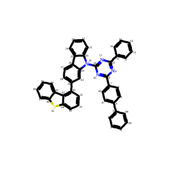 c1ccc(-c2ccc(-c3nc(-c4ccccc4)nc(-n4c5ccccc5c5ccc(-c6cccc7sc8ccccc8c67)cc54)n3)cc2)cc1